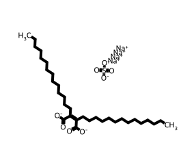 CCCCCCCCCCCCCC/C(C(=O)[O-])=C(\CCCCCCCCCCCCCC)C(=O)[O-].O=S(=O)([O-])[O-].[Na+].[Na+].[Na+].[Na+]